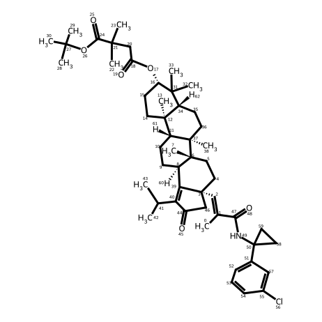 C/C(=C\[C@@]12CC[C@]3(C)[C@H](CC[C@@H]4[C@@]5(C)CC[C@H](OC(=O)CC(C)(C)C(=O)OC(C)(C)C)C(C)(C)[C@@H]5CC[C@]43C)C1=C(C(C)C)C(=O)C2)C(=O)NC1(c2cccc(Cl)c2)CC1